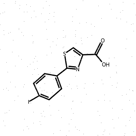 O=C(O)c1csc(-c2ccc(I)cc2)n1